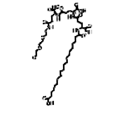 O=CCOCCOCCNC(=O)CC[C@H](NC(=O)CC[C@H](NC(=O)CCC(NC(=O)CCCCCCCCCCCCCCCCCCC(=O)O)C(=O)O)C(=O)O)C(=O)O